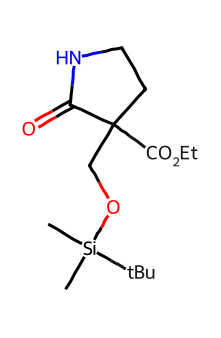 CCOC(=O)C1(CO[Si](C)(C)C(C)(C)C)CCNC1=O